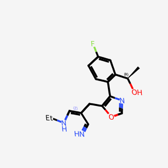 CCN/C=C(\C=N)Cc1ocnc1-c1ccc(F)cc1[C@@H](C)O